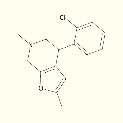 Cc1cc2c(o1)CN(C)CC2c1ccccc1Cl